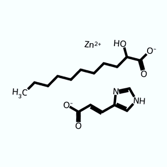 CCCCCCCCCC(O)C(=O)[O-].O=C([O-])C=Cc1c[nH]cn1.[Zn+2]